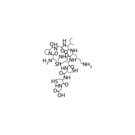 CCC(C)C(NC(=O)CNC(=O)C1CCCN1C(=O)C(N)CS)C(=O)NC(CCCCN)C(=O)NC(CCCCN)C(=O)NC(CS)C(=O)NC(CS)C(=O)NCC(=O)O